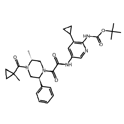 C[C@@H]1CN(C(=O)C(=O)Nc2cnc(NC(=O)OC(C)(C)C)c(C3CC3)c2)[C@@H](c2ccccc2)CN1C(=O)C1(C)CC1